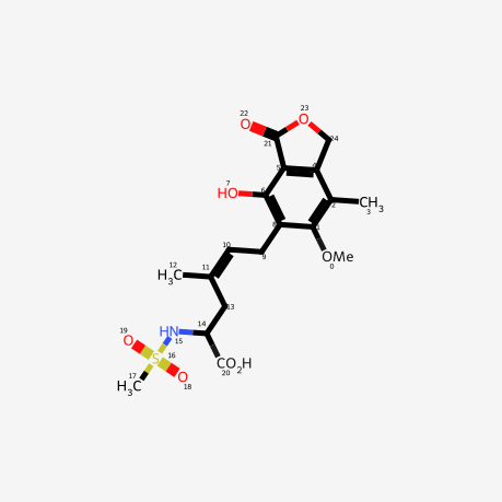 COc1c(C)c2c(c(O)c1CC=C(C)CC(NS(C)(=O)=O)C(=O)O)C(=O)OC2